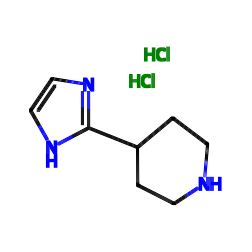 Cl.Cl.c1c[nH]c(C2CCNCC2)n1